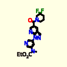 CCOC(=O)N(C)c1cncc(-n2ncc3cc(C(=O)N4CCCC(F)(F)C4)cnc32)c1